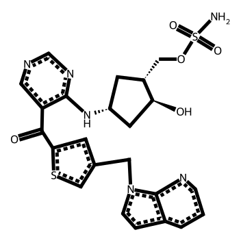 NS(=O)(=O)OC[C@H]1C[C@@H](Nc2ncncc2C(=O)c2cc(Cn3ccc4cccnc43)cs2)C[C@@H]1O